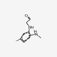 CNc1ccc(C)cc1NCC=O